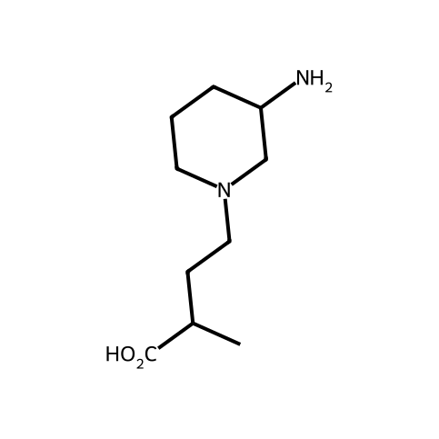 CC(CCN1CCCC(N)C1)C(=O)O